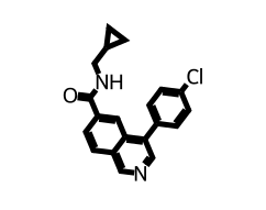 O=C(NCC1CC1)c1ccc2cncc(-c3ccc(Cl)cc3)c2c1